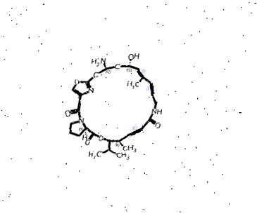 CC1=C\[C@@H](O)C[C@H](N)Cc2nc(co2)C(=O)N2CCC[C@@H]2C(=O)OC(C(C)C)[C@H](C)/C=C/C(=O)NC\C=C\1